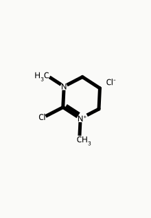 CN1CCC[N+](C)=C1Cl.[Cl-]